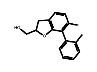 Cc1ccccc1-c1c(F)ccc2c1OC(CO)C2